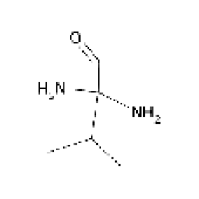 CC(C)C(N)(N)C=O